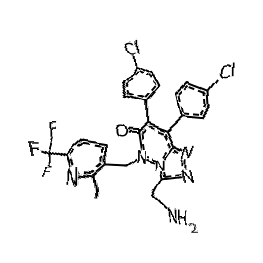 Cc1nc(C(F)(F)F)ccc1Cn1c(=O)c(-c2ccc(Cl)cc2)c(-c2ccc(Cl)cc2)c2nnc(CN)n21